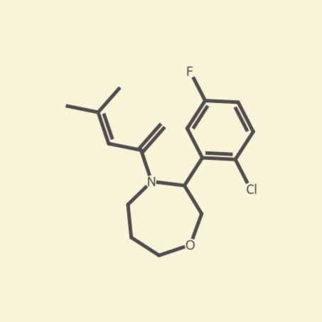 C=C(C=C(C)C)N1CCCOCC1c1cc(F)ccc1Cl